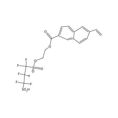 C=Cc1ccc2cc(C(=O)OCCOS(=O)(=O)C(F)(F)C(F)(F)C(F)(F)S(=O)(=O)O)ccc2c1